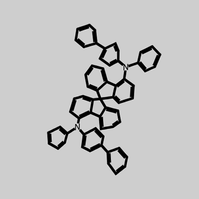 c1ccc(-c2ccc(N(c3ccccc3)c3cccc4c3-c3ccccc3C43c4ccccc4-c4c(N(c5ccccc5)c5ccc(-c6ccccc6)cc5)cccc43)cc2)cc1